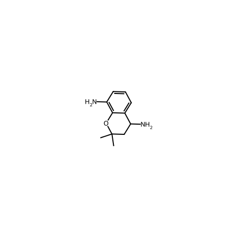 CC1(C)CC(N)c2cccc(N)c2O1